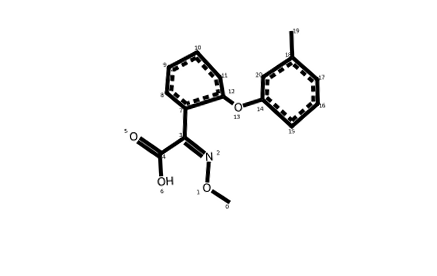 CON=C(C(=O)O)c1ccccc1Oc1cccc(C)c1